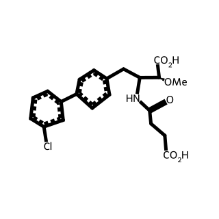 CO[C@@H](C(=O)O)C(Cc1ccc(-c2cccc(Cl)c2)cc1)NC(=O)CCC(=O)O